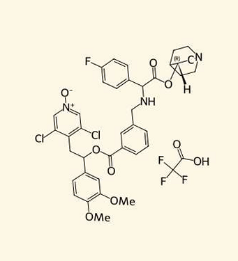 COc1ccc(C(Cc2c(Cl)c[n+]([O-])cc2Cl)OC(=O)c2cccc(CNC(C(=O)O[C@H]3CN4CCC3CC4)c3ccc(F)cc3)c2)cc1OC.O=C(O)C(F)(F)F